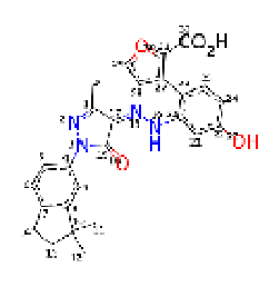 CC1=NN(c2ccc3c(c2)C(C)(C)CC3)C(=O)C1=NNc1cc(O)ccc1-c1ccoc1C(=O)O